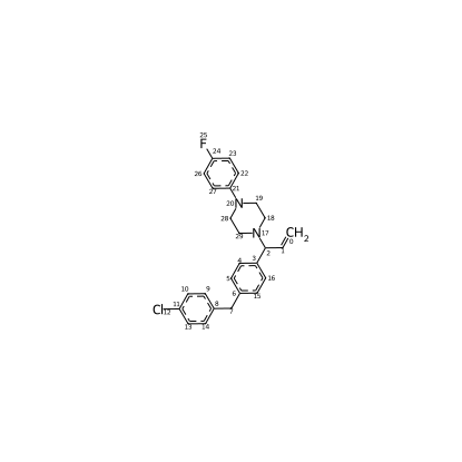 C=CC(c1ccc(Cc2ccc(Cl)cc2)cc1)N1CCN(c2ccc(F)cc2)CC1